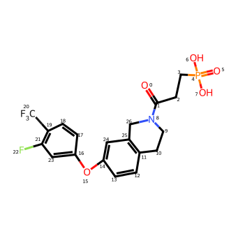 O=C(CCP(=O)(O)O)N1CCc2ccc(Oc3ccc(C(F)(F)F)c(F)c3)cc2C1